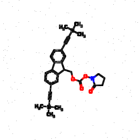 C[Si](C)(C)C#Cc1ccc2c(c1)C(COC(=O)ON1CCCC1=O)c1cc(C#C[Si](C)(C)C)ccc1-2